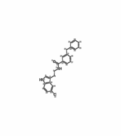 O=C(NCCc1c[nH]c2ccc(Cl)cc12)c1cccc(Cc2ccccc2)c1